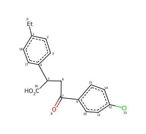 CCc1ccc(C(CC(=O)c2ccc(Cl)cc2)C(=O)O)cc1